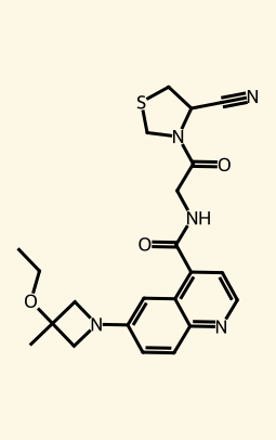 CCOC1(C)CN(c2ccc3nccc(C(=O)NCC(=O)N4CSCC4C#N)c3c2)C1